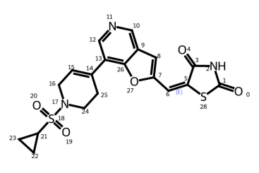 O=C1NC(=O)/C(=C\c2cc3cncc(C4=CCN(S(=O)(=O)C5CC5)CC4)c3o2)S1